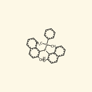 C[Si](C)(c1ccccc1)P(c1c(O)ccc2ccccc12)c1c(O)ccc2ccccc12